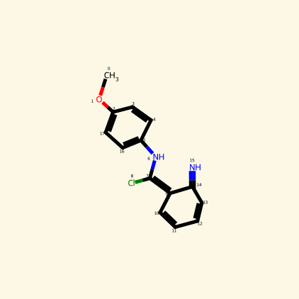 COc1ccc(N/C(Cl)=C2/C=CC=CC2=N)cc1